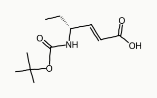 CC[C@H](/C=C/C(=O)O)NC(=O)OC(C)(C)C